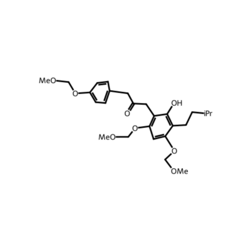 COCOc1ccc(CC(=O)Cc2c(OCOC)cc(OCOC)c(CCC(C)C)c2O)cc1